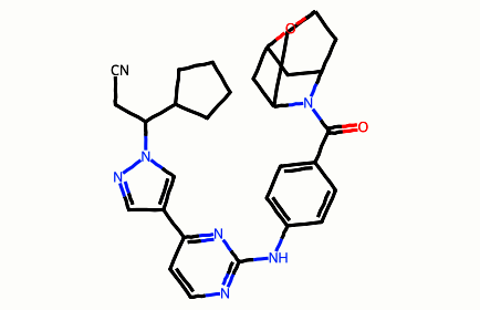 N#CCC(C1CCCC1)n1cc(-c2ccnc(Nc3ccc(C(=O)N4C5CC6CC4CC(C5)O6)cc3)n2)cn1